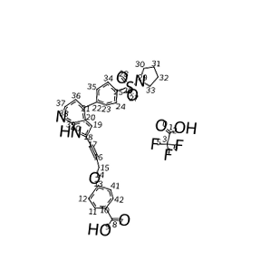 O=C(O)C(F)(F)F.O=C(O)c1ccc(OCC#Cc2cc3c(-c4ccc(S(=O)(=O)N5CCCC5)cc4)ccnc3[nH]2)cc1